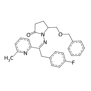 Cc1cccc(C(Cc2ccc(F)cc2)=NN2C(=O)CCC2COCc2ccccc2)n1